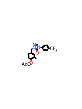 CC(=O)OOc1ccc(Cn2ncn(-c3ccc(C(F)(F)F)cc3)c2=O)cc1C